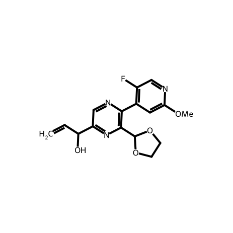 C=CC(O)c1cnc(-c2cc(OC)ncc2F)c(C2OCCO2)n1